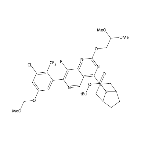 COCOc1cc(Cl)c(C(F)(F)F)c(-c2ncc3c(N4CC5CCC(C4)N5C(=O)OC(C)(C)C)nc(OCC(OC)OC)nc3c2F)c1